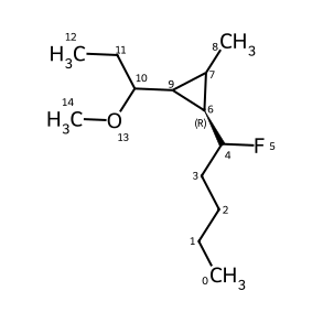 CCCCC(F)[C@@H]1C(C)C1C(CC)OC